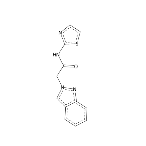 O=C(Cn1cc2ccccc2n1)Nc1nccs1